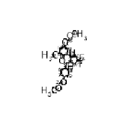 COCOc1ccc([C@H]2Oc3c(C)cc(OCOC)cc3[C@H]3CC(F)(F)C[C@H]32)cc1